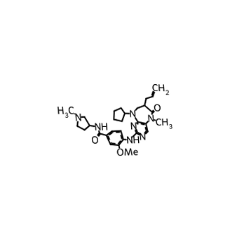 C=CCC1CN(C2CCCC2)c2nc(Nc3ccc(C(=O)NC4CCN(C)C4)cc3OC)ncc2N(C)C1=O